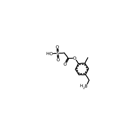 BCc1ccc(OC(=O)CS(=O)(=O)O)c(C)c1